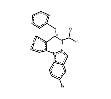 CC(C)(C)[S+]([O-])N[C@@H](Cc1ccccn1)c1ccccc1-n1ncc2cc(Br)ccc21